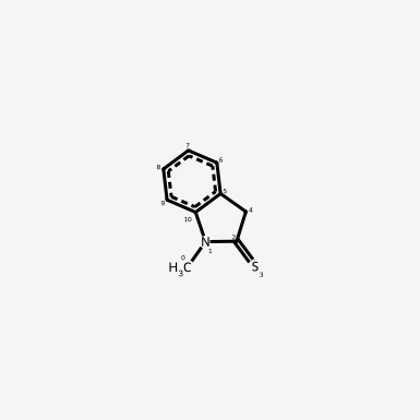 CN1C(=S)Cc2ccccc21